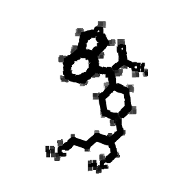 CCCC=C(CC)CN1CCC(N(C(C)=O)c2cccc3cocc23)CC1